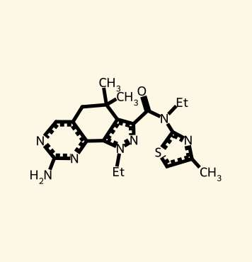 CCN(C(=O)c1nn(CC)c2c1C(C)(C)Cc1cnc(N)nc1-2)c1nc(C)cs1